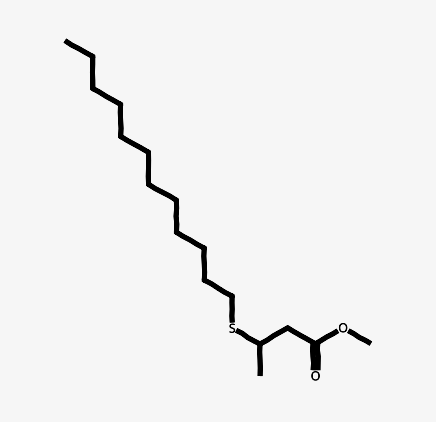 CCCCCCCCCCCCSC(C)CC(=O)OC